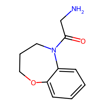 NCC(=O)N1CCCOc2ccccc21